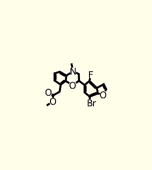 COC(=O)Cc1cccc2c1OC(c1cc(Br)c3occc3c1F)CN2C